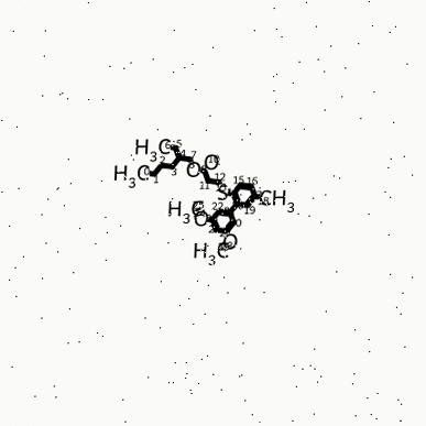 CCCCC(CC)COC(=O)CCSc1ccc(C)cc1-c1cc(OC)cc(OC)c1